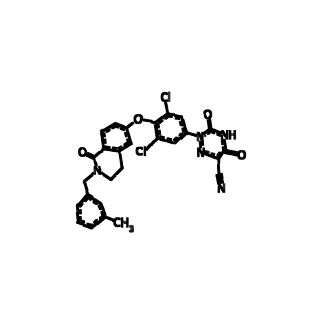 Cc1cccc(CN2CCc3cc(Oc4c(Cl)cc(-n5nc(C#N)c(=O)[nH]c5=O)cc4Cl)ccc3C2=O)c1